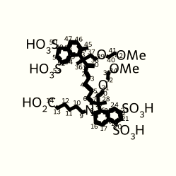 C=C(/C=C/C=C/C=C1/N(CCCCCC(=O)O)c2ccc3c(S(=O)(=O)O)cc(S(=O)(=O)O)cc3c2C1(C)CCOCCOC)C(C)(CCOCCOC)c1c(C)ccc2c(S(=O)(=O)O)cc(S(=O)(=O)O)cc12